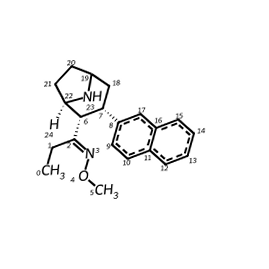 CCC(=NOC)[C@H]1[C@@H](c2ccc3ccccc3c2)CC2CC[C@H]1N2